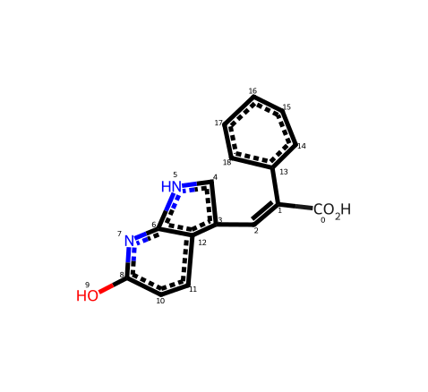 O=C(O)C(=Cc1c[nH]c2nc(O)ccc12)c1ccccc1